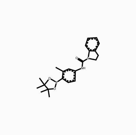 Cc1cc(NC(=O)N2CCc3ccccc32)ccc1B1OC(C)(C)C(C)(C)O1